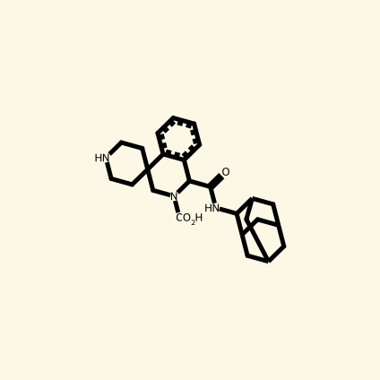 O=C(NC1C2CC3CC(C2)CC1C3)C1c2ccccc2C2(CCNCC2)CN1C(=O)O